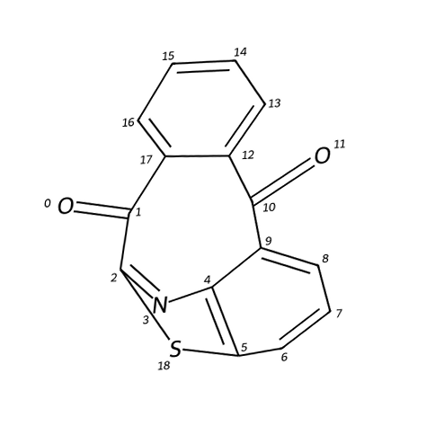 O=c1c2nc3c(cccc3c(=O)c3ccccc13)s2